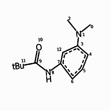 CN(C)c1cccc(NC(=O)C(C)(C)C)c1